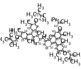 CC(C)=C(C)COc1cc(C)c(C(c2cc(C)c(OCC(C)=C(C)C)cc2C)C2CCCC(CC3CCCC(C(c4cc(C)c(OCC(C)=C(C)C)cc4C)c4cc(C)c(OCC(C)C(C)C)cc4C)C3)C2)cc1C